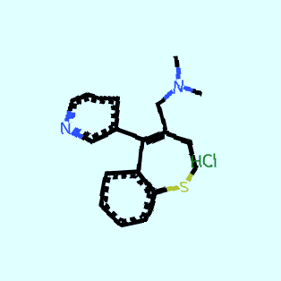 CN(C)CC1=C(c2cccnc2)c2ccccc2SCC1.Cl